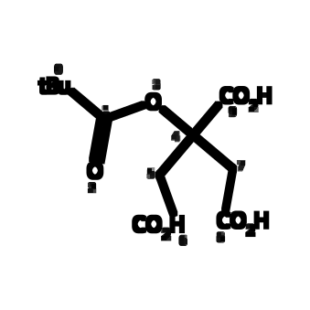 CC(C)(C)C(=O)OC(CC(=O)O)(CC(=O)O)C(=O)O